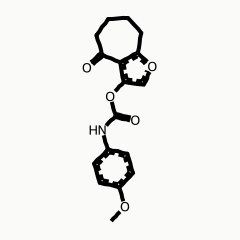 COc1ccc(NC(=O)Oc2coc3c2C(=O)CCCC3)cc1